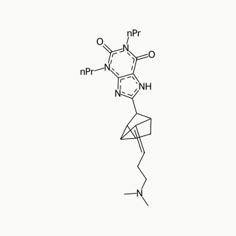 CCCn1c(=O)c2[nH]c(C3C4CC5C(C4=CCCN(C)C)C53)nc2n(CCC)c1=O